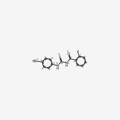 Cc1ccccc1C(=O)NC(=S)Nc1ccc(C(C)(C)C)cc1